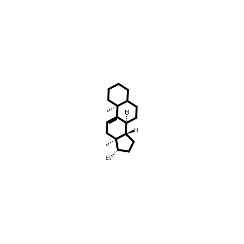 CC[C@H]1CC[C@H]2[C@@H]3CCC4CCCC[C@]4(C)C3=CC[C@]12C